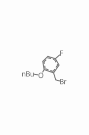 CCCCOc1ccc(F)cc1CBr